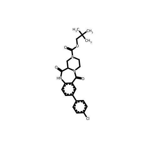 CC(C)(C)COC(=O)N1CCN2C(=O)c3cc(-c4ccc(Cl)cc4)ccc3NC(=O)C2C1